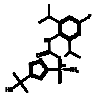 CC(C)c1cc(F)cc(C(C)C)c1NC(=O)N=[S@](N)(=O)c1cc(C(C)(C)O)cs1